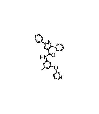 Cc1cc(NC(=O)c2cn(-c3ccccc3)nc2-c2ccccc2)cc(Oc2cccnc2)c1